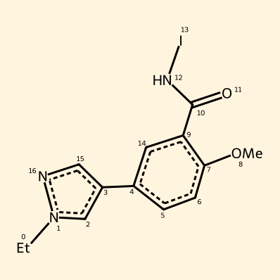 CCn1cc(-c2ccc(OC)c(C(=O)NI)c2)cn1